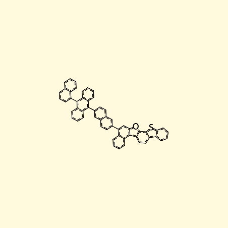 c1ccc2c(-c3c4ccccc4c(-c4ccc5cc(-c6cc7oc8c(ccc9c%10ccccc%10sc98)c7c7ccccc67)ccc5c4)c4ccccc34)cccc2c1